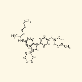 C[C@H](CCCCC(F)(F)F)Nc1ncc2c(-c3ccc(CN4CCN(C)CC4)cc3)cn(C3CCCCC3)c2n1